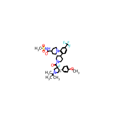 COc1ccc([C@@H]2CN(C(C)(C)C)C[C@@]2(F)C(=O)N2CCC(c3ccc(C(F)(F)F)cc3N3CCC(C(=O)NS(C)(=O)=O)CC3)CC2)cc1